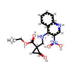 CCOC(=O)C1(CNc2c([N+](=O)[O-])cnc3ccccc23)CC1=O